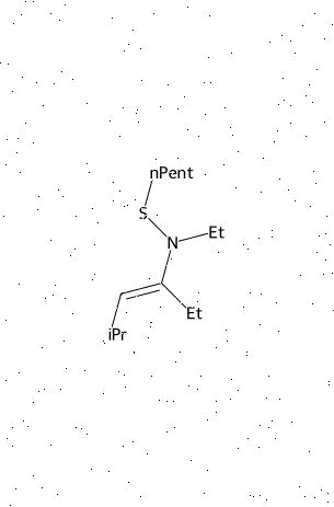 CCCCCSN(CC)/C(=C/C(C)C)CC